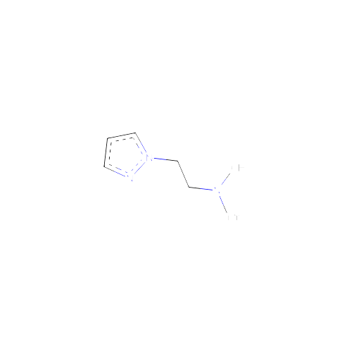 CC(C)N(C)CCn1cccn1